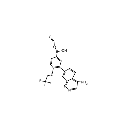 Nc1cnnc2cc(-c3cc(B(O)OC=O)ccc3OCC(F)(F)F)ccc12